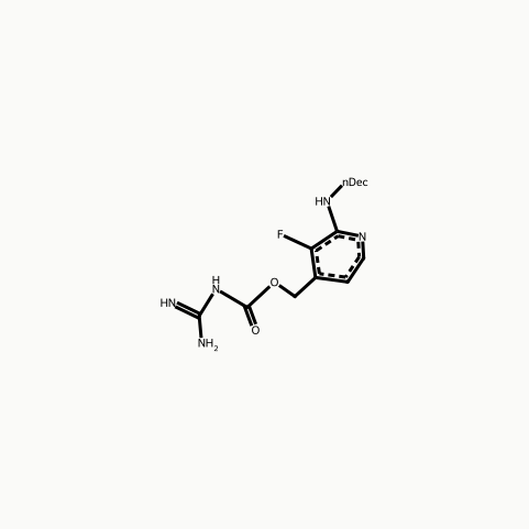 CCCCCCCCCCNc1nccc(COC(=O)NC(=N)N)c1F